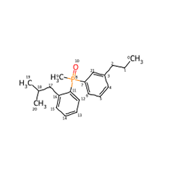 CCCc1cccc(P(C)(=O)c2ccccc2CC(C)C)c1